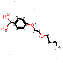 CC(C)CCCOCCOc1ccc(B(O)O)cc1